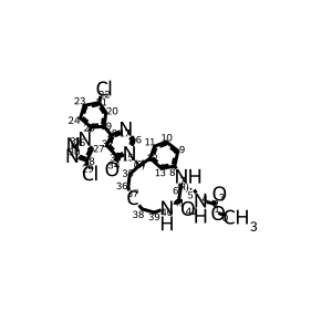 COC(=O)NC[C@H]1Nc2cccc(c2)[C@@H](n2cnc(-c3cc(Cl)ccc3-n3cc(Cl)nn3)cc2=O)CCCCCNC1=O